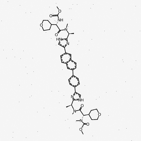 COC(=O)N[C@H](C(=O)N(C)[C@@H](C)c1nc(-c2ccc3cc(-c4ccc(-c5c[nH]c([C@H](C)N(C)C(=O)[C@H](C6CCOCC6)N(C)C(=O)OC)n5)cc4)ccc3c2)c[nH]1)C1CCOCC1